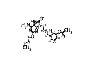 CCCCOc1nc(N)c2[nH]c(=O)n(CCNCc3cccc(OC(C)=O)c3)c2n1